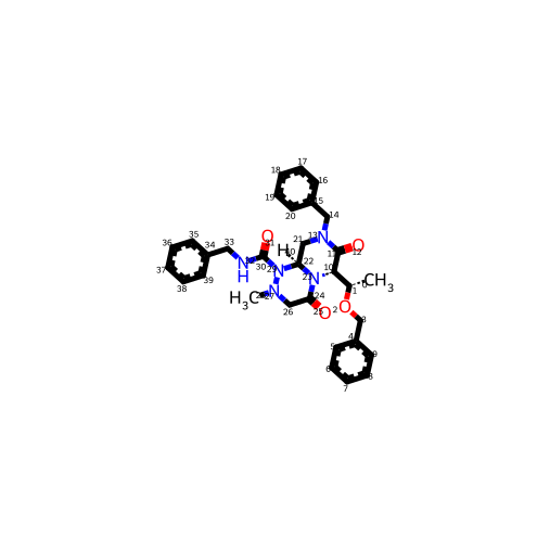 C[C@H](OCc1ccccc1)[C@H]1C(=O)N(Cc2ccccc2)C[C@H]2N1C(=O)CN(C)N2C(=O)NCc1ccccc1